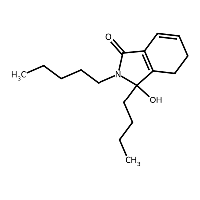 CCCCCN1C(=O)C2=C(CCC=C2)C1(O)CCCC